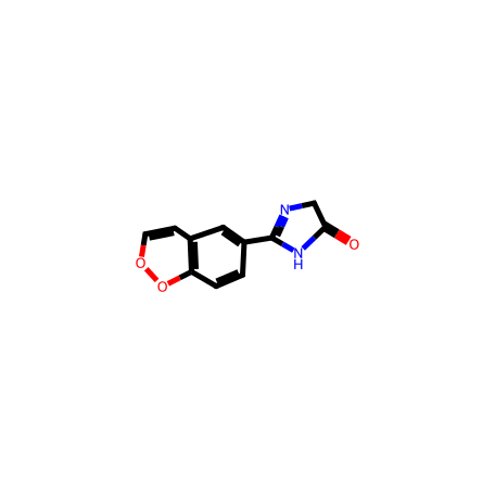 O=C1CN=C(c2ccc3c(c2)C=COO3)N1